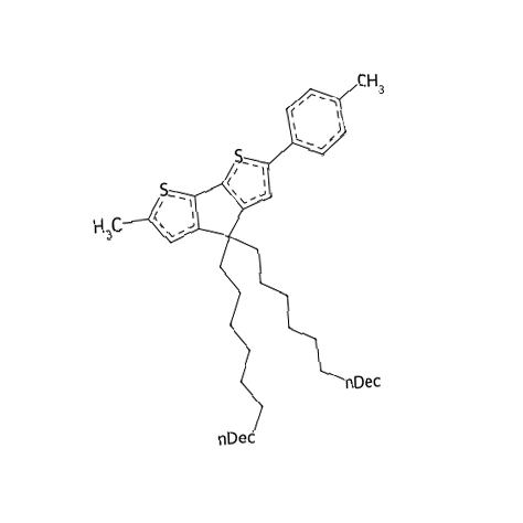 CCCCCCCCCCCCCCCCC1(CCCCCCCCCCCCCCCC)c2cc(C)sc2-c2sc(-c3ccc(C)cc3)cc21